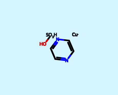 O=S(=O)(O)O.[Cu].c1cnccn1